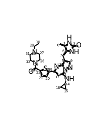 C=c1[nH]c(=O)[nH]/c1=C\c1cnn2c(NC3CC3)cc(-c3ccc(C(=O)N4CCN(CC)CC4)s3)nc12